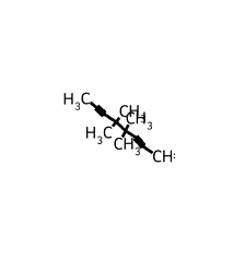 [CH]C#CC(C)(C)C(C)(C)C#CC